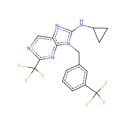 FC(F)(F)c1cccc(Cn2c(NC3CC3)nc3cnc(C(F)(F)F)nc32)c1